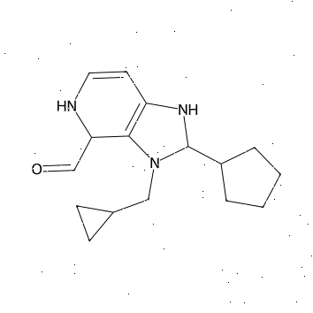 O=CC1NC=CC2=C1N(CC1CC1)C(C1CCCC1)N2